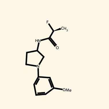 COc1cccc(N2CCC(NC(=O)[C@H](C)F)C2)c1